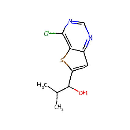 CC(C)C(O)c1cc2ncnc(Cl)c2s1